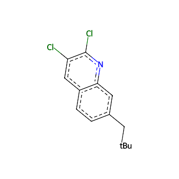 CC(C)(C)Cc1ccc2cc(Cl)c(Cl)nc2c1